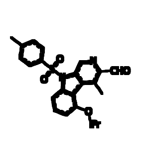 Cc1ccc(S(=O)(=O)n2c3cccc(OC(C)C)c3c3c(C)c(C=O)ncc32)cc1